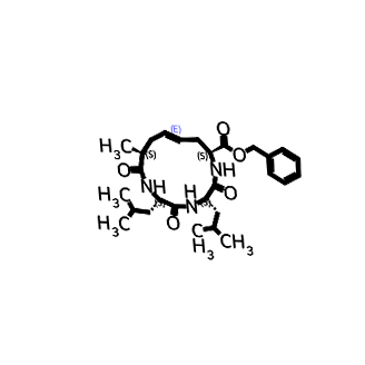 CC(C)C[C@@H]1NC(=O)[C@H](CC(C)C)NC(=O)[C@@H](C)C/C=C/C[C@@H](C(=O)OCc2ccccc2)NC1=O